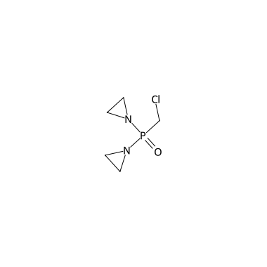 O=P(CCl)(N1CC1)N1CC1